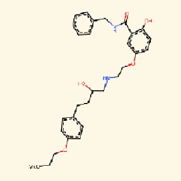 COCCOc1ccc(CCC(O)CNCCOc2ccc(O)c(C(=O)NCc3ccccc3)c2)cc1